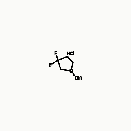 Cl.ON1CCC(F)(F)C1